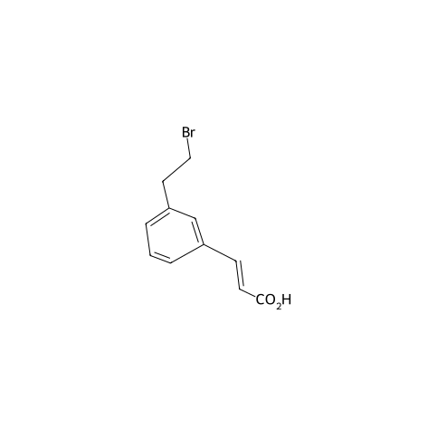 O=C(O)/C=C/c1cccc(CCBr)c1